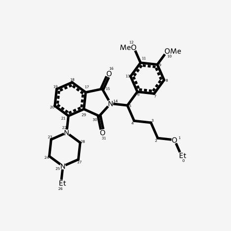 CCOCCCC(c1ccc(OC)c(OC)c1)N1C(=O)c2cccc(N3CCN(CC)CC3)c2C1=O